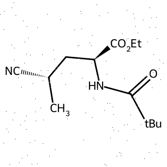 CCOC(=O)[C@H](C[C@H](C)C#N)NC(=O)C(C)(C)C